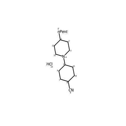 CCCCCC1CCN(C2CCC(C#N)CC2)CC1.Cl